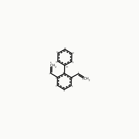 C=Cc1cccc(C=C)c1-c1ccccc1